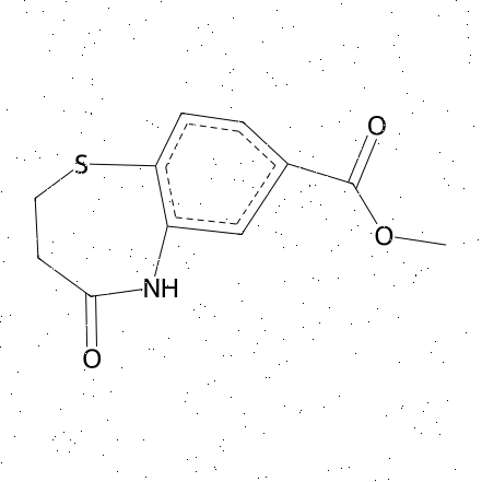 COC(=O)c1ccc2c(c1)NC(=O)CCS2